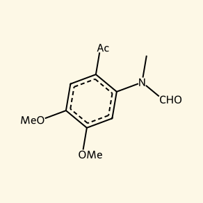 COc1cc(C(C)=O)c(N(C)C=O)cc1OC